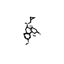 COc1ccc2c(c1)[C@]1(CI)CC(=O)CC[C@]1(O)C(N(C)CC1CC1)C2